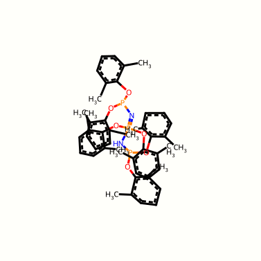 Cc1cccc(C)c1OP(N=P(NP(Oc1c(C)cccc1C)Oc1c(C)cccc1C)(Oc1c(C)cccc1C)Oc1c(C)cccc1C)Oc1c(C)cccc1C